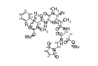 C/C(=C\[C@H](C(C)C)N(C)C(=O)C(NC(=O)[C@@H](N(C)C(=O)OC(C)(C)C)C(C)(C)c1ccccc1)C(C)(C)C)C(=O)N[C@H](CC(=O)OC(C)(C)C)C(=O)NCCN1C(=O)C=CC1=O